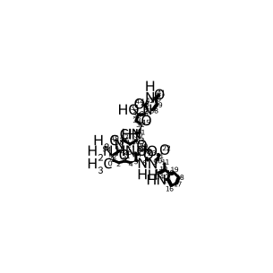 CCCCC[C@H](NC(=O)N[C@@H](Cc1c[nH]c2ccccc12)C(=O)O)C(=O)N[C@H](C(=O)NC[C@H]1C[C@@H](O)[C@H](n2ccc(=O)[nH]c2=O)O1)[C@H](C)N(C)C(=O)CN